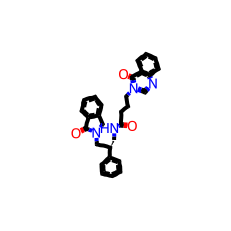 O=C(CCCn1cnc2ccccc2c1=O)NC[C@@H](CN1Cc2ccccc2C1=O)c1ccccc1